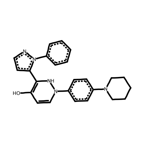 OC1=C(c2ccnn2-c2ccccc2)NN(c2ccc(N3CCCCC3)cc2)C=C1